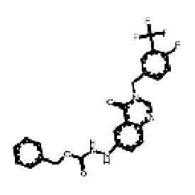 O=C(NNc1ccc2ncn(Cc3ccc(F)c(C(F)(F)F)c3)c(=O)c2c1)OCc1ccccc1